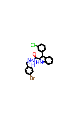 O=C(N/N=C\c1ccc(Br)cc1)c1[nH]c2ccccc2c1-c1cccc(Cl)c1